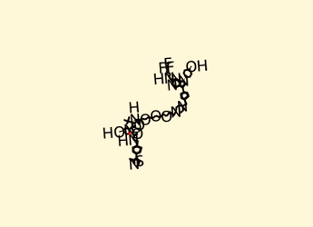 Cc1ncsc1-c1ccc(CNC(=O)[C@@H]2C[C@@H](O)CN2C(=O)[C@@H](NC(=O)COCCOCCOCCN2CCN(Cc3ccc(-c4cn([C@H]5CC[C@H](O)CC5)c5nc(NCCC(F)(F)F)ncc45)cc3)CC2)C(C)(C)C)cc1